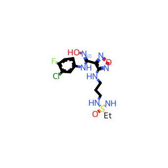 CCS(=N)(=O)NCCCNc1nonc1/C(=N/O)Nc1ccc(F)c(Cl)c1